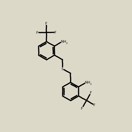 Nc1c(CSCc2cccc(C(F)(F)F)c2N)cccc1C(F)(F)F